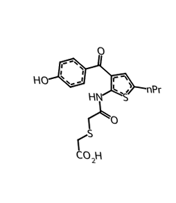 CCCc1cc(C(=O)c2ccc(O)cc2)c(NC(=O)CSCC(=O)O)s1